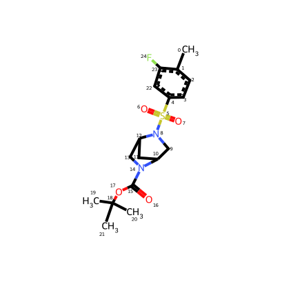 Cc1ccc(S(=O)(=O)N2CC3CC2CN3C(=O)OC(C)(C)C)cc1F